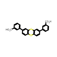 O=C(O)c1cccc(-c2ccc3c(c2)Sc2cc(-c4cccc(C(=O)O)c4)ccc2S3)c1